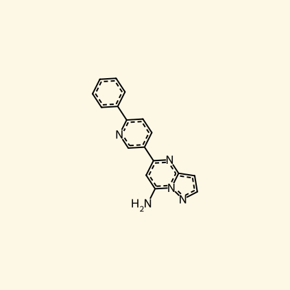 Nc1cc(-c2ccc(-c3ccccc3)nc2)nc2ccnn12